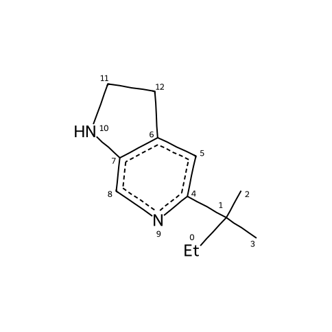 CCC(C)(C)c1cc2c(cn1)NCC2